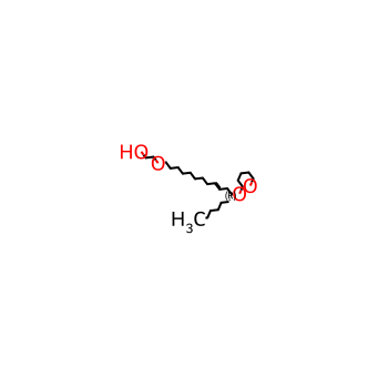 CCCCCC[C@H](CC=CCCCCCCCCOCCO)OC1CCCCO1